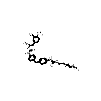 COCCOCCOC(=O)Nc1ccc(Cc2ccc(NC(=O)OC(C)Cc3ccc(C)c(Cl)c3)cc2)cc1